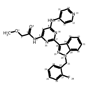 COCC(=O)Nc1cc(Nc2ccncc2)nc(-c2nn(Cc3ccccc3F)c3ccccc23)n1